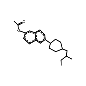 CCC(C)CC1CCC(c2ccc3cc(OC(C)=O)ccc3c2)CC1